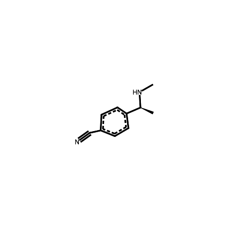 CN[C@@H](C)c1ccc(C#N)cc1